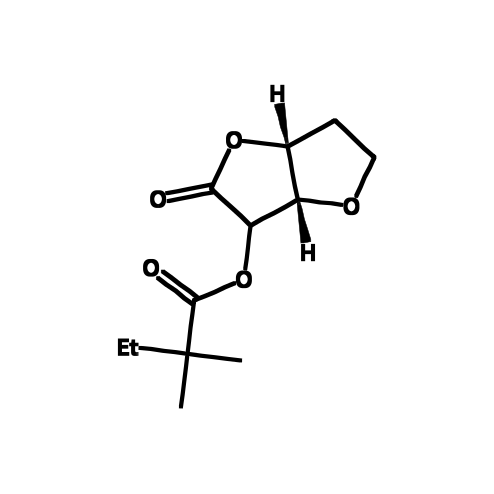 CCC(C)(C)C(=O)OC1C(=O)O[C@@H]2CCO[C@H]12